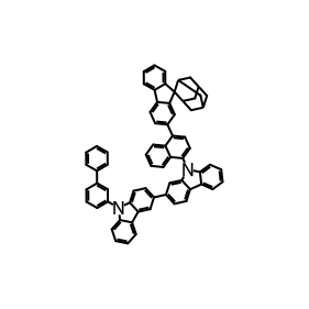 c1ccc(-c2cccc(-n3c4ccccc4c4cc(-c5ccc6c7ccccc7n(-c7ccc(-c8ccc9c(c8)C8(c%10ccccc%10-9)C9CC%10CC(C9)CC8C%10)c8ccccc78)c6c5)ccc43)c2)cc1